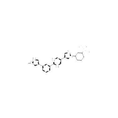 Cn1cc(-c2cccc(-c3ncc(-c4cnn(C5CCCC(S(C)(=O)=O)C5)c4)cn3)c2)cn1